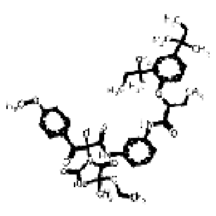 CCOC1(C)NC(=O)N(C(Cl)(C(=O)Nc2cccc(NC(=O)C(CC)Oc3ccc(C(C)(C)CC)cc3C(C)(C)CC)c2)C(=O)c2ccc(OC)cc2)C1=O